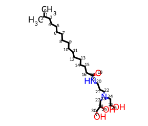 CC(C)CCCCCCCCCCCCCCC(=O)NCCCN(CCO)CC(O)CO